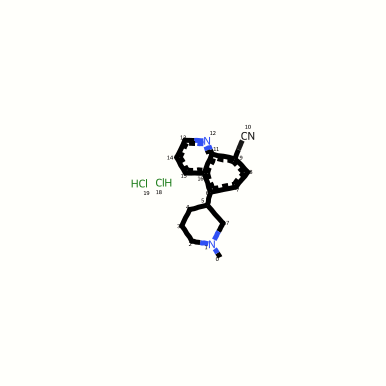 CN1CCCC(c2ccc(C#N)c3ncccc23)C1.Cl.Cl